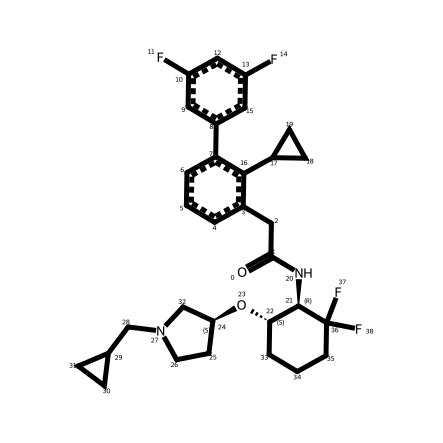 O=C(Cc1cccc(-c2cc(F)cc(F)c2)c1C1CC1)N[C@@H]1[C@@H](O[C@H]2CCN(CC3CC3)C2)CCCC1(F)F